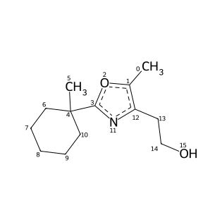 Cc1oc(C2(C)CCCCC2)nc1CCO